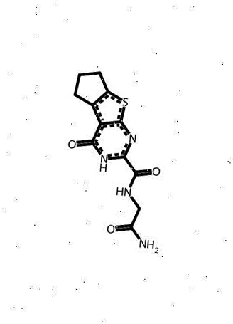 NC(=O)CNC(=O)c1nc2sc3c(c2c(=O)[nH]1)CCC3